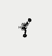 O=C(COc1ccccc1)N[C@@H]1C(=O)N2C(C(=O)O)=C(OCC#Cc3ccccc3)CS[C@@H]12